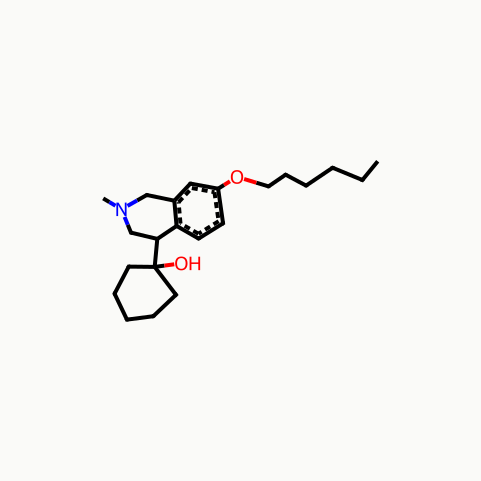 CCCCCCOc1ccc2c(c1)CN(C)CC2C1(O)CCCCC1